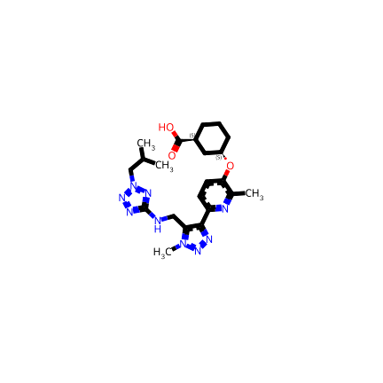 Cc1nc(-c2nnn(C)c2CNc2nnn(CC(C)C)n2)ccc1O[C@H]1CCC[C@H](C(=O)O)C1